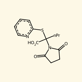 CCCC(Sc1ccccn1)(C(=O)O)N1C(=O)CCC1=O